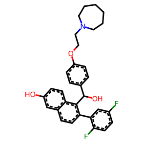 Oc1ccc2c(C(O)c3ccc(OCCN4CCCCCC4)cc3)c(-c3cc(F)ccc3F)ccc2c1